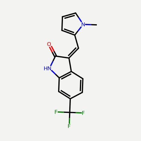 Cn1cccc1/C=C1\C(=O)Nc2cc(C(F)(F)F)ccc21